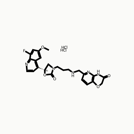 COc1cc(F)c2nccc([C@@H]3CN(CCCNCc4ccc5c(n4)NC(=O)CO5)C(=O)O3)c2c1.Cl.Cl